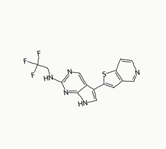 FC(F)(F)CNc1ncc2c(-c3cc4cnccc4s3)c[nH]c2n1